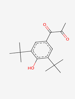 CC(=O)C(=O)c1cc(C(C)(C)C)c(O)c(C(C)(C)C)c1